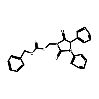 O=C(OCc1ccccc1)OCN1C(=O)C(c2ccccc2)N(c2ccccc2)C1=O